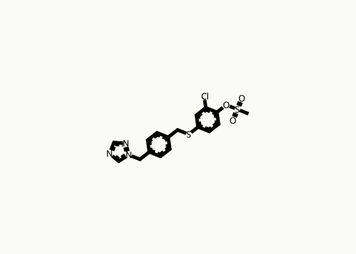 CS(=O)(=O)Oc1ccc(SCc2ccc(Cn3cncn3)cc2)cc1Cl